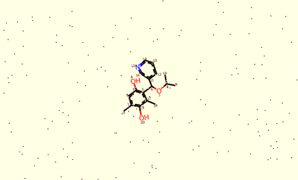 Cc1cc(O)c(C(OC(C)C)c2cccnc2)c(C)c1O